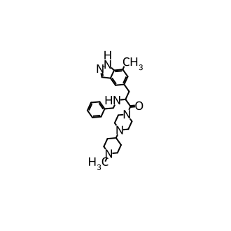 Cc1cc(CC(NCc2ccccc2)C(=O)N2CCN(C3CCN(C)CC3)CC2)cc2cn[nH]c12